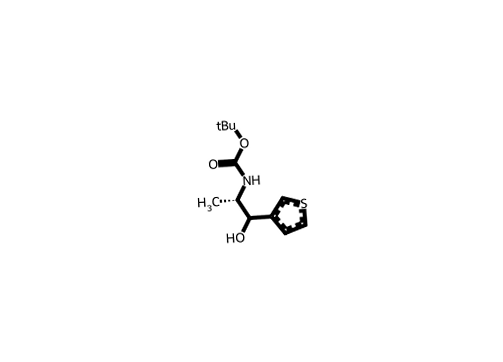 C[C@H](NC(=O)OC(C)(C)C)C(O)c1ccsc1